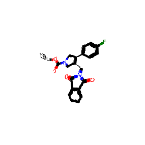 CC(C)(C)OC(=O)N1C[C@@H](CN2C(=O)c3ccccc3C2=O)[C@H](c2ccc(F)cc2)C1